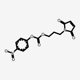 O=C(OCCCN1C(=O)C=CC1=O)Oc1ccc([N+](=O)[O-])cc1